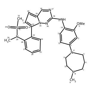 COc1cc(N2CCCN(C)CC2)ccc1Nc1ncc2ccc(-c3ccccc3N(C)S(C)(=O)=O)n2n1